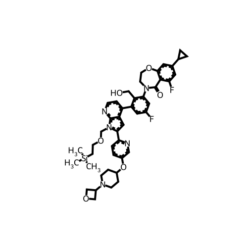 C[Si](C)(C)CCOCn1c(-c2ccc(OC3CCN(C4COC4)CC3)cn2)cc2c(-c3cc(F)cc(N4CCOc5cc(C6CC6)cc(F)c5C4=O)c3CO)ccnc21